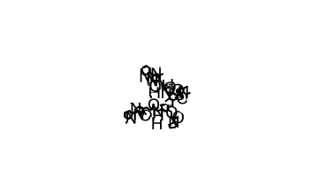 CCN(CC)S(=O)(=O)c1cc(Cc2ccc(NC(=O)CCc3c(C)nc(-c4ccccn4)nc3O)cc2OCC(=O)N2CCCC2)c(C)c(NC(=O)CCc2c(C)nc(-c3ccccn3)nc2O)c1